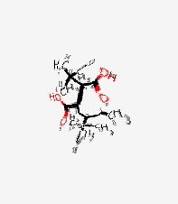 CCC(C(C(=O)O)=C(C(=O)O)C(C)(C)C)[Si](C)(C)C